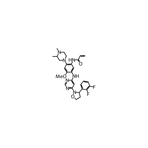 C=CC(=O)Nc1cc(Nc2cc(N3OCCC3c3cccc(F)c3F)ncn2)c(OC)cc1N1CCN(C)C(C)C1